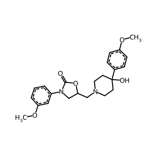 COc1ccc(C2(O)CCN(CC3CN(c4cccc(OC)c4)C(=O)O3)CC2)cc1